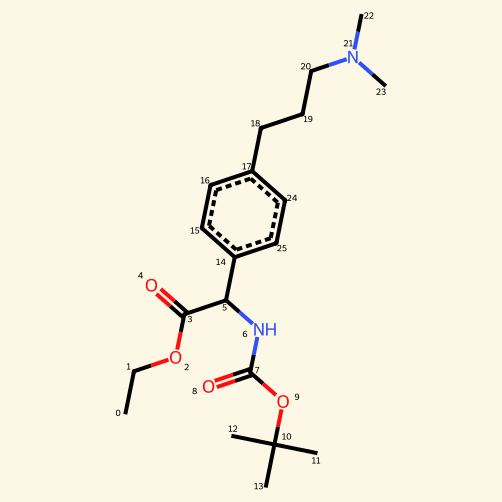 CCOC(=O)C(NC(=O)OC(C)(C)C)c1ccc(CCCN(C)C)cc1